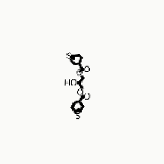 CC12CCC(C(=O)OCC(O)COC(=O)C3CCC4(C)SC4C3)CC1S2